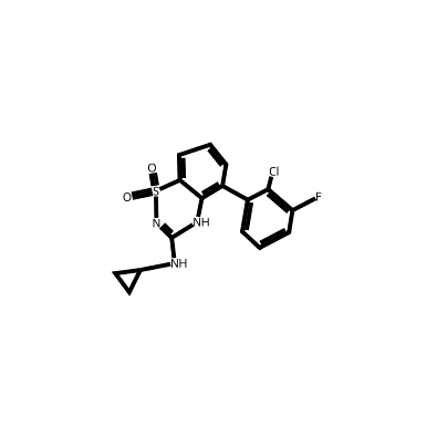 O=S1(=O)N=C(NC2CC2)Nc2c(-c3cccc(F)c3Cl)cccc21